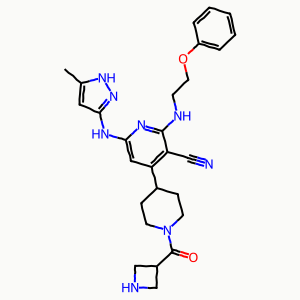 Cc1cc(Nc2cc(C3CCN(C(=O)C4CNC4)CC3)c(C#N)c(NCCOc3ccccc3)n2)n[nH]1